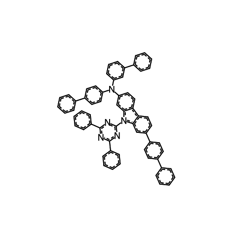 c1ccc(-c2ccc(-c3ccc4c5ccc(N(c6ccc(-c7ccccc7)cc6)c6cccc(-c7ccccc7)c6)cc5n(-c5nc(-c6ccccc6)nc(-c6ccccc6)n5)c4c3)cc2)cc1